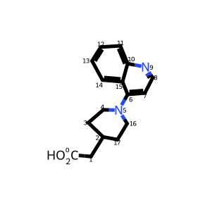 O=C(O)CC1CCN(c2ccnc3ccccc23)CC1